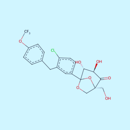 O=C1[C@H](O)[C@@H](O)C2(c3ccc(Cl)c(Cc4ccc(OC(F)(F)F)cc4)c3)OC[C@@]1(CO)O2